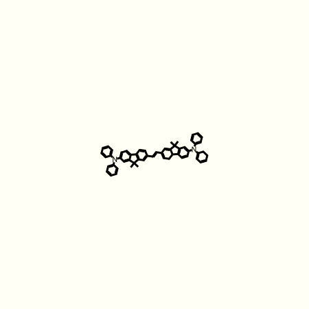 CC1(C)C2=CC(/C=C/c3ccc4c(c3)C(C)(C)c3cc(N(c5ccccc5)c5ccccc5)ccc3-4)=CCC2c2ccc(N(C3=CC=CCC3)c3ccccc3)cc21